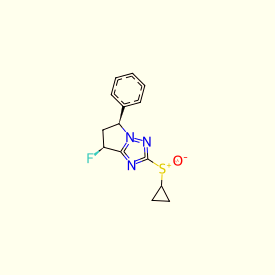 [O-][S@@+](c1nc2n(n1)[C@H](c1ccccc1)C[C@@H]2F)C1CC1